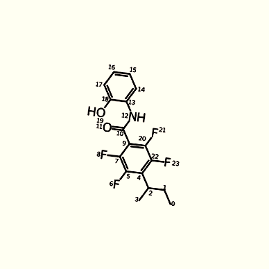 CCC(C)c1c(F)c(F)c(C(=O)Nc2ccccc2O)c(F)c1F